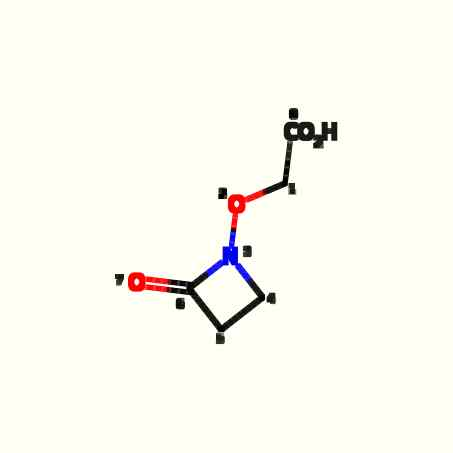 O=C(O)CON1CCC1=O